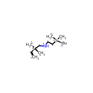 C=C[Si](C)(C)CNCC[Si](C)(C)C(C)(C)C